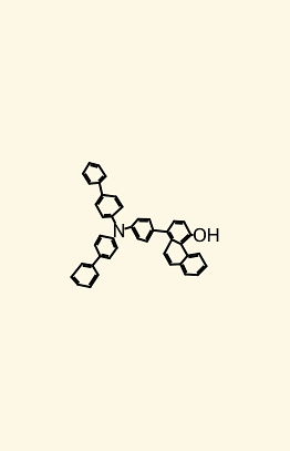 Oc1ccc(-c2ccc(N(c3ccc(-c4ccccc4)cc3)c3ccc(-c4ccccc4)cc3)cc2)c2ccc3ccccc3c12